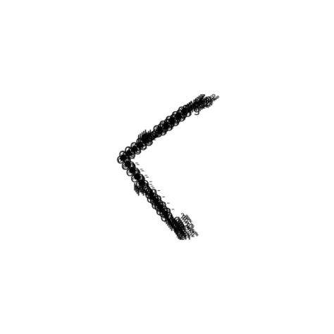 O=C([O-])[O-].O=C([O-])[O-].O=C([O-])[O-].O=C([O-])[O-].O=C([O-])[O-].O=C([O-])[O-].O=C([O-])[O-].O=C([O-])[O-].O=C([O-])[O-].O=S(=O)([O-])[O-].O=S(=O)([O-])[O-].O=S(=O)([O-])[O-].O=S(=O)([O-])[O-].O=S(=O)([O-])[O-].O=S(=O)([O-])[O-].O=S(=O)([O-])[O-].O=S(=O)([O-])[O-].O=S(=O)([O-])[O-].[Fe+3].[Fe+3].[Fe+3].[Fe+3].[Fe+3].[Mg+2].[Mg+2].[Mg+2].[Mg+2].[Mg+2].[Mn+2].[Mn+2].[Mn+2].[Mn+2].[Mn+2].[OH-].[OH-].[OH-].[OH-].[OH-].[OH-].[OH-].[OH-].[OH-].[Zn+2].[Zn+2].[Zn+2].[Zn+2].[Zn+2]